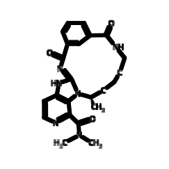 C[C@H]1CCCCNC(=O)c2cccc(c2)C(=O)/N=C2\Nc3ccnc(C(=O)N(C)C)c3N21